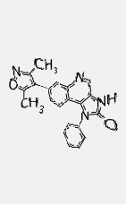 Cc1noc(C)c1-c1ccc2c(c1)ncc1[nH]c(=O)n(-c3ccccc3)c12